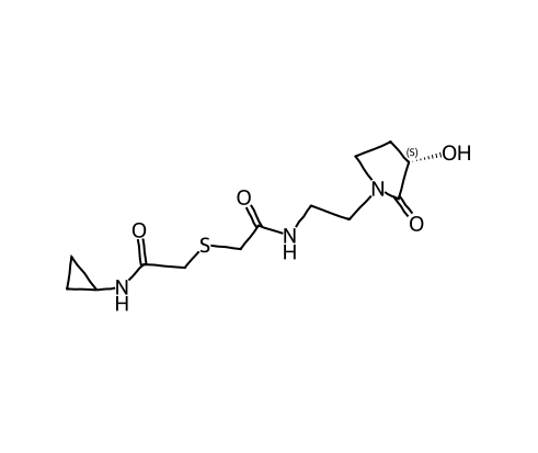 O=C(CSCC(=O)NC1CC1)NCCN1CC[C@H](O)C1=O